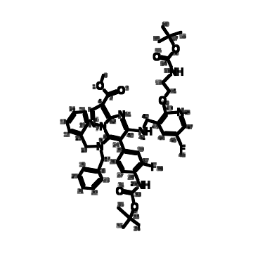 COC(=O)c1cnn2c(N(Cc3ccccc3)Cc3ccccc3)c(-c3ccc(NC(=O)OC(C)(C)C)c(F)c3)c(NCc3cc(F)cnc3OCCNC(=O)OC(C)(C)C)nc12